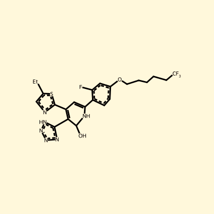 CCc1cnc(C2=C(c3nnn[nH]3)C(O)NC(c3ccc(OCCCCCC(F)(F)F)cc3F)=C2)s1